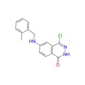 Cc1ccccc1CNc1ccc2c(=O)[nH]nc(Cl)c2c1